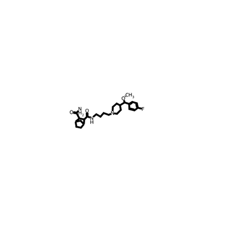 COC(c1ccc(F)cc1)C1CCN(CCCCNC(=O)C2C3CCC(C3)C2C(N)=O)CC1